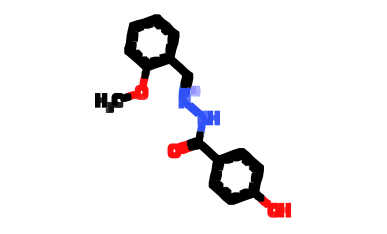 COc1ccccc1/C=N/NC(=O)c1ccc(O)cc1